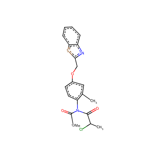 COC(=O)N(C(=O)C(C)Cl)c1ccc(OCc2nc3ccccc3s2)cc1C